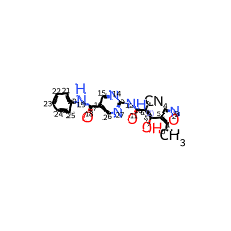 Cc1oncc1/C(O)=C(\C#N)C(=O)Nc1ncc(C(=O)Nc2ccccc2)cn1